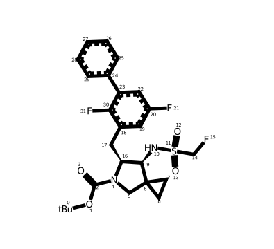 CC(C)(C)OC(=O)N1CC2(CC2)[C@H](NS(=O)(=O)CF)[C@@H]1Cc1cc(F)cc(-c2ccccc2)c1F